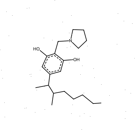 CCCCCC(C)C(C)c1cc(O)c(CN2CCCC2)c(O)c1